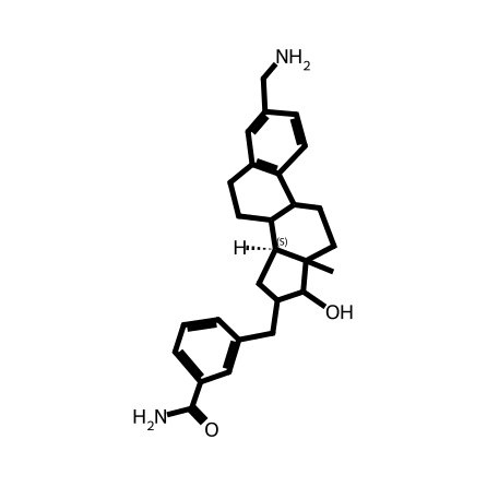 CC12CCC3c4ccc(CN)cc4CCC3[C@@H]1CC(Cc1cccc(C(N)=O)c1)C2O